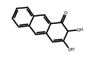 O=C1c2cc3ccccc3cc2C=C(O)C1O